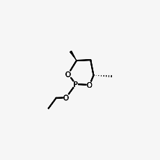 CCOP1O[C@@H](C)C[C@H](C)O1